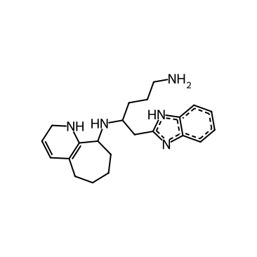 NCCCC(Cc1nc2ccccc2[nH]1)NC1CCCCC2=C1NCC=C2